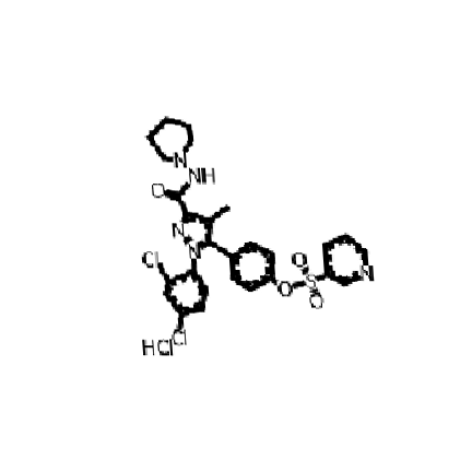 Cc1c(C(=O)NN2CCCCC2)nn(-c2ccc(Cl)cc2Cl)c1-c1ccc(OS(=O)(=O)c2cccnc2)cc1.Cl